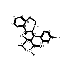 COC(=O)c1c(C(C)C)nc2c(c1-c1ccc(F)cc1)CCCc1ccccc1-2